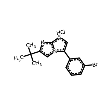 CC(C)(C)c1cn2c(-c3cccc(Br)c3)csc2n1.Cl